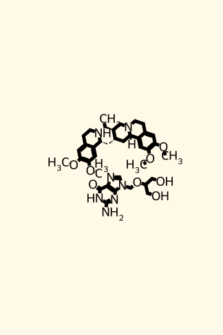 CC[C@H]1CN2CCc3cc(OC)c(OC)cc3[C@@H]2C[C@@H]1C[C@H]1NCCc2cc(OC)c(OC)cc21.Nc1nc2c(ncn2COC(CO)CO)c(=O)[nH]1